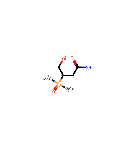 COP(=O)(OC)C(CO)CC(N)=O